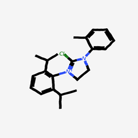 Cc1ccccc1N1CC[N+](c2c(C(C)C)cccc2C(C)C)=C1Cl